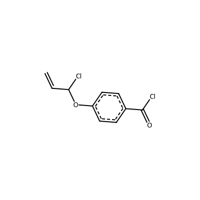 C=CC(Cl)Oc1ccc(C(=O)Cl)cc1